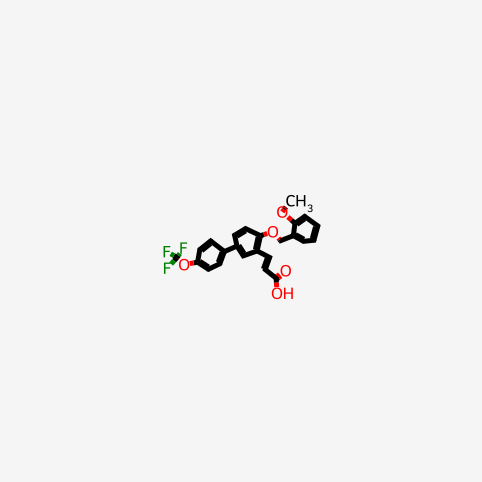 COc1ccccc1COc1ccc(-c2ccc(OC(F)(F)F)cc2)cc1C=CC(=O)O